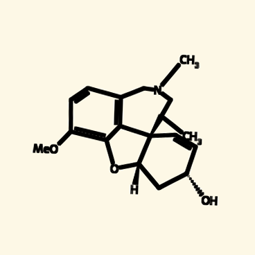 COc1ccc2c3c1O[C@H]1C[C@@H](O)C=C[C@@]31C(C)CN(C)C2